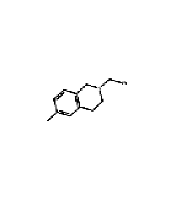 CCC(C)CN1CCc2cc(C)ccc2C1